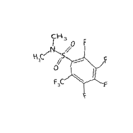 CN(C)S(=O)(=O)c1c(F)c(F)c(F)c(F)c1C(F)(F)F